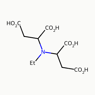 CCN(C(CC(=O)O)C(=O)O)C(CC(=O)O)C(=O)O